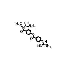 CCC(C)N(CC)C(=O)c1ccc(OC(=O)c2ccc(NC(=N)N)cc2)cc1